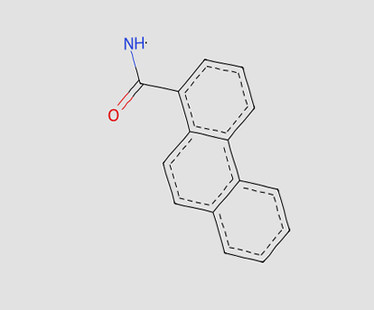 [NH]C(=O)c1cccc2c1ccc1ccccc12